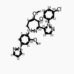 COC1=CCN(c2ccc(-n3cccn3)cc2OC)N=C(c2ccnn2-c2cccc(Cl)c2)C1=O